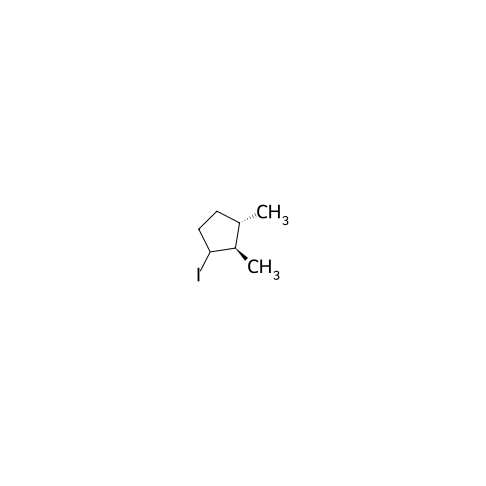 C[C@H]1CCC(I)[C@@H]1C